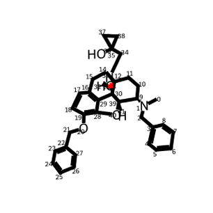 CN(Cc1ccccc1)[C@@H]1CC[C@@]2(O)C3Cc4ccc(OCc5ccccc5)c5c4[C@@]2(CCN3CC2(O)CC2)[C@H]1O5